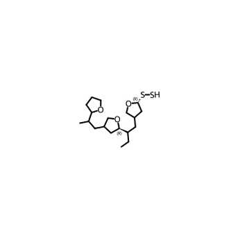 CCC(CC1CO[C@H](SS)C1)[C@H]1CC(CC(C)C2CCCO2)CO1